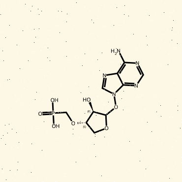 Nc1ncnc2c1ncn2OC1OC[C@H](OCP(=O)(O)O)[C@H]1O